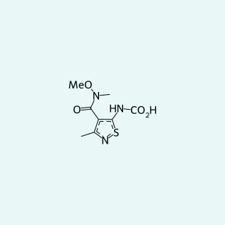 CON(C)C(=O)c1c(C)nsc1NC(=O)O